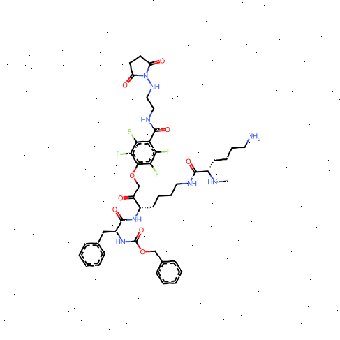 CN[C@@H](CCCCN)C(=O)NCCCC[C@H](NC(=O)[C@H](Cc1ccccc1)NC(=O)OCc1ccccc1)C(=O)COc1c(F)c(F)c(C(=O)NCCNN2C(=O)CCC2=O)c(F)c1F